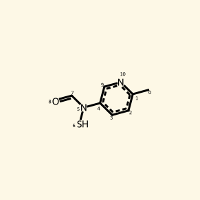 Cc1ccc(N(S)C=O)cn1